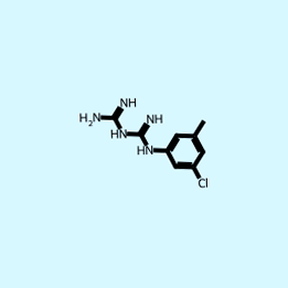 Cc1cc(Cl)cc(NC(=N)NC(=N)N)c1